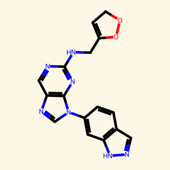 C1=C(CNc2ncc3ncn(-c4ccc5cn[nH]c5c4)c3n2)OOC1